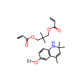 C=CC(=O)OCC(C)(C)COC(=O)C=C.CCOc1ccc2c(c1)C(C)=CC(C)(C)N2